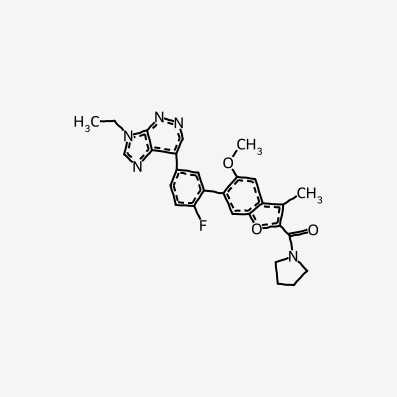 CCn1cnc2c(-c3ccc(F)c(-c4cc5oc(C(=O)N6CCCC6)c(C)c5cc4OC)c3)cnnc21